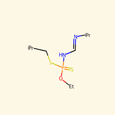 CCOP(=S)(NC=NC(C)C)SCC(C)C